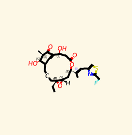 CC[C@@]12CCCC3C=C(C(=O)[C@H](C)[C@H]3O)[C@@H](O)CC(=O)O[C@H](/C(C)=C/c3csc(CF)n3)C[C@@H]1O2